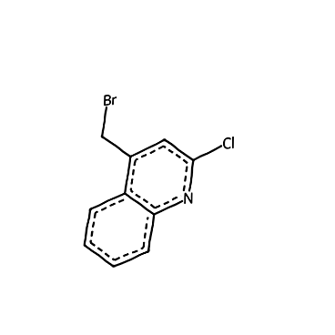 Clc1cc(CBr)c2ccccc2n1